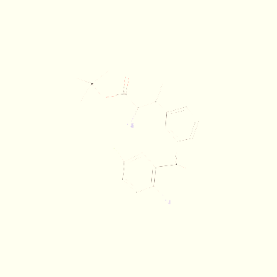 CC(c1cccc(C(O)c2cc(Cl)ccc2N)c1)C(N)C(=O)OC(C)(C)C